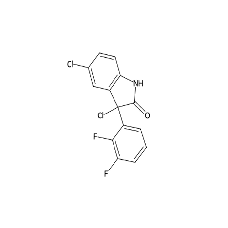 O=C1Nc2ccc(Cl)cc2C1(Cl)c1cccc(F)c1F